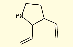 C=CC1CCNC1C=C